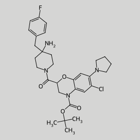 CC(C)(C)OC(=O)N1CC(C(=O)N2CCC(N)(Cc3ccc(F)cc3)CC2)Oc2cc(N3CCCC3)c(Cl)cc21